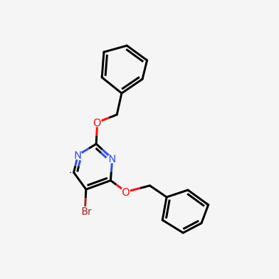 Brc1[c]nc(OCc2ccccc2)nc1OCc1ccccc1